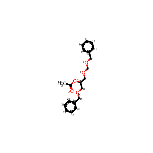 CC(=O)OC(COCOCc1ccccc1)COCc1ccccc1